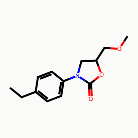 CCc1ccc(N2CC(COC)OC2=O)cc1